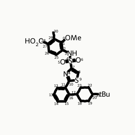 COc1c(NS(=O)(=O)c2csc(-c3ccccc3C3CCC(C(C)(C)C)CC3)n2)ccc(C(=O)O)c1C